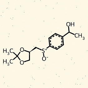 CC(O)c1ccc([S+]([O-])C[C@H]2COC(C)(C)O2)cc1